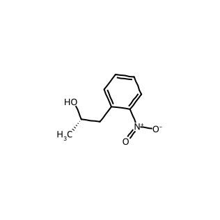 C[C@H](O)Cc1ccccc1[N+](=O)[O-]